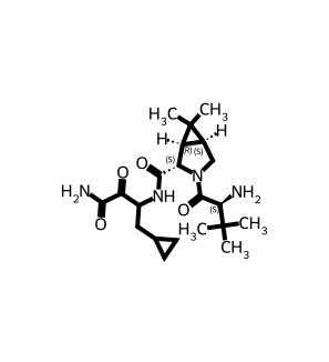 CC(C)(C)[C@H](N)C(=O)N1C[C@H]2[C@@H]([C@H]1C(=O)NC(CC1CC1)C(=O)C(N)=O)C2(C)C